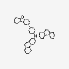 c1ccc2c(c1)ccc1cc(N(c3ccc(-c4ccc5oc6ccccc6c5c4)cc3)c3ccc4c(ccc5ccccc54)c3)ccc12